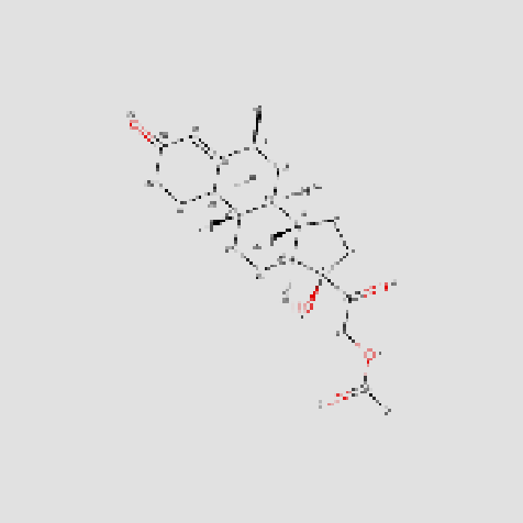 CC(=O)OCC(=O)[C@@]1(O)CC[C@H]2[C@@H]3C[C@H](C)C4=CC(=O)CC[C@]4(C)[C@H]3CC[C@@]21C